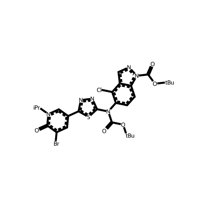 CC(C)n1cc(-c2nnc(N(C(=O)OC(C)(C)C)c3ccc4c(cnn4C(=O)OC(C)(C)C)c3Cl)s2)cc(Br)c1=O